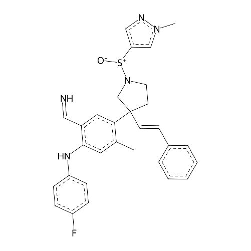 Cc1cc(Nc2ccc(F)cc2)c(C=N)cc1C1(/C=C/c2ccccc2)CCN([S+]([O-])c2cnn(C)c2)C1